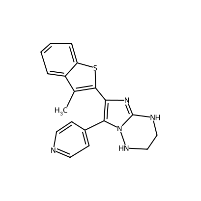 Cc1c(-c2nc3n(c2-c2ccncc2)NCCN3)sc2ccccc12